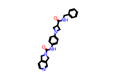 O=C(NCc1ccccc1)C1CN(c2ccc(NC(=O)N3Cc4ccncc4C3)cc2)C1